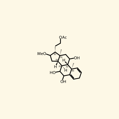 COC1C[C@H]2[C@@H]3C(O)C(O)C4=CCC=C[C@]4(C)[C@H]3C(O)C[C@]2(C)[C@H]1CCOC(C)=O